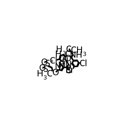 CC(CC([S+]=O)[S+]=O)Oc1cc(C(=O)Nc2c(Br)cc(Cl)cc2C(=O)NC(C)(C)C)n(-c2ncccc2Cl)n1